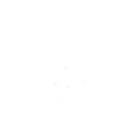 Cc1ccc(S(=O)(=O)Oc2nc(C)n(-c3cccc(F)c3Cl)c(=O)c2C)cc1